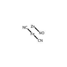 N#[C][Fe][C]#N.O=[N][Zn]